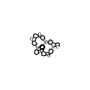 [O-][S+](c1ccc2oc3ccc4oc5ccc(-n6c7ccccc7c7ccccc76)cc5c4c3c2c1)c1ccc2oc3ccc4oc5ccc(-n6c7ccccc7c7ccccc76)cc5c4c3c2c1